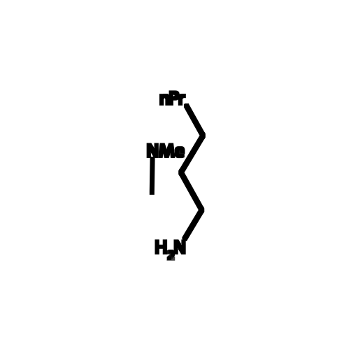 CCCCCCN.CNC